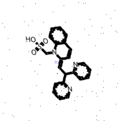 O=S(=O)(O)CN1/C(=C/C(c2ccccn2)c2ccccn2)C=Cc2ccccc21